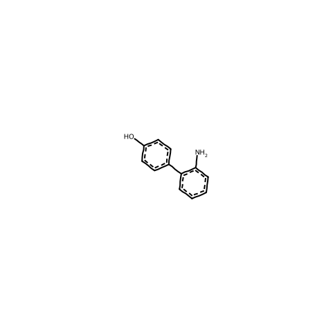 Nc1ccccc1-c1ccc(O)cc1